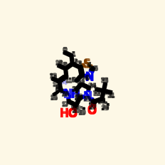 CCC(c1scnc1C)C(C)/C=C(\C)[C@H](C)NC[C@](C)(O)[C@@H]1CCCN1C(=O)[C@@H](C)C(C)(C)C